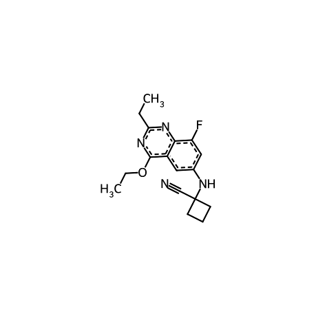 CCOc1nc(CC)nc2c(F)cc(NC3(C#N)CCC3)cc12